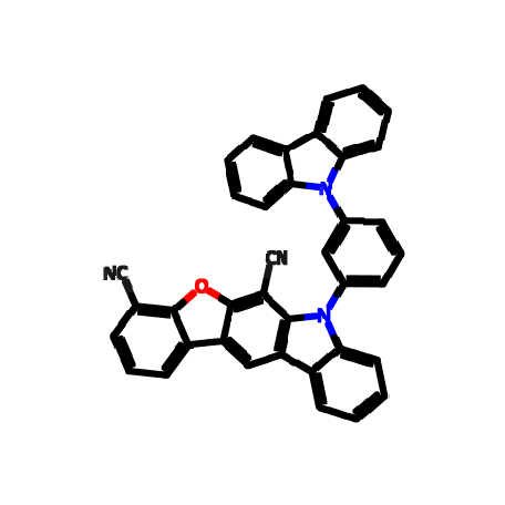 N#Cc1cccc2c1oc1c(C#N)c3c(cc12)c1ccccc1n3-c1cccc(-n2c3ccccc3c3ccccc32)c1